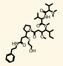 CCC(C)C(C(CC(=O)N1CCCC1C(CC(=O)NCCc1ccccc1)SCCO)OC)N(C)C(=O)C(NC(=O)C(C(C)C)N(C)C)C(C)C